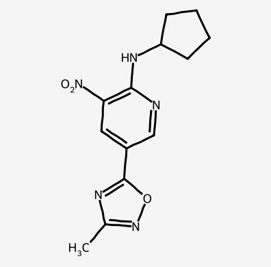 Cc1noc(-c2cnc(NC3CCCC3)c([N+](=O)[O-])c2)n1